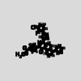 COC(=O)C12CCC(NC(=O)C3c4cccc(-c5cncnc5)c4CCN3C(=O)c3cn(-c4cccc(Cl)c4F)nn3)(CC1)CC2